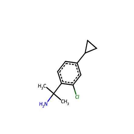 CC(C)(N)c1ccc(C2CC2)cc1Cl